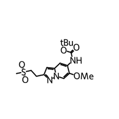 COc1cn2nc(CCS(C)(=O)=O)cc2cc1NC(=O)OC(C)(C)C